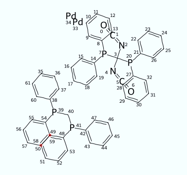 O=C=NC(N=C=O)(P(c1ccccc1)c1ccccc1)P(c1ccccc1)c1ccccc1.[Pd].[Pd].c1ccc(P(CP(c2ccccc2)c2ccccc2)c2ccccc2)cc1